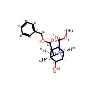 CC(C)(C)OC(=O)N1[C@H]2CC[C@H](C(O)C2)[C@H]1C(=O)OCc1ccccc1